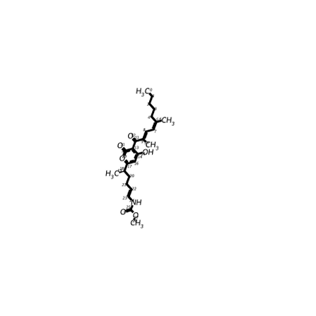 CCCCC/C(C)=C\C=C(/C)C(=O)c1c(O)cc([C@H](C)CC/C=C/NC(=O)OC)oc1=O